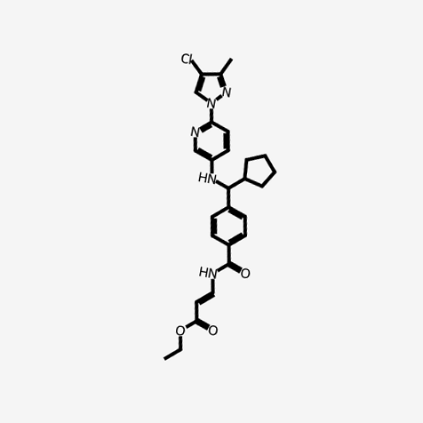 CCOC(=O)/C=C/NC(=O)c1ccc(C(Nc2ccc(-n3cc(Cl)c(C)n3)nc2)C2CCCC2)cc1